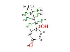 O=C1C=CC(O)(C(F)(F)C(F)(F)C(F)(F)C(F)(F)F)C=C1